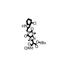 COC(=O)C(C(=O)OC(C)(C)C)C1=NC2C(C(=O)N(Cc3cc4c(Cl)cccc4[nH]3)C(=O)N2C)N1C